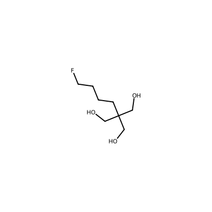 OCC(CO)(CO)CCCCF